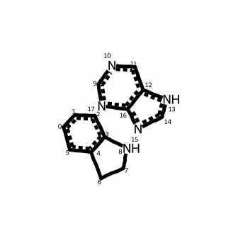 c1ccc2c(c1)CCN2.c1ncc2[nH]cnc2n1